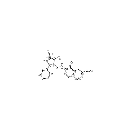 COC(=O)Cc1c(C)ccn(NCc2c(-c3ccccc3)nn(C)c2Cl)c1=O